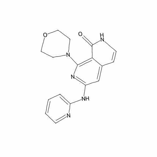 O=c1[nH]ccc2cc(Nc3ccccn3)nc(N3CCOCC3)c12